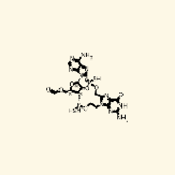 Nc1nc2c(nc(COP(=O)(S)O[C@@H]3[C@H](F)[C@@H](COC=O)O[C@H]3n3cnc4c(N)ncnc43)n2CCOPS)c(=O)[nH]1